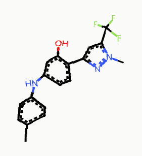 Cc1ccc(Nc2ccc(-c3cc(C(F)(F)F)n(C)n3)c(O)c2)cc1